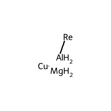 [AlH2][Re].[Cu].[MgH2]